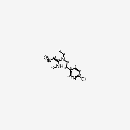 CCN(CCc1ccc(Cl)nc1)/C(=C/N=O)NC